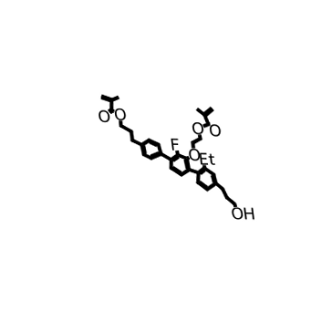 C=C(C)C(=O)OCCCc1ccc(-c2ccc(-c3ccc(CCCO)cc3CC)c(OCCOC(=O)C(=C)C)c2F)cc1